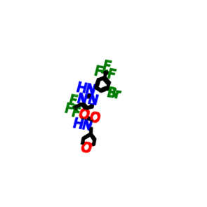 O=C(NCC1CCOCC1)Oc1cnc(Nc2cc(Br)cc(C(F)(F)F)c2)nc1C(F)(F)F